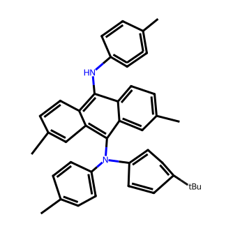 CC1=C=C=C(Nc2c3ccc(C)cc3c(N(c3ccc(C)cc3)c3ccc(C(C)(C)C)cc3)c3cc(C)ccc23)C=C1